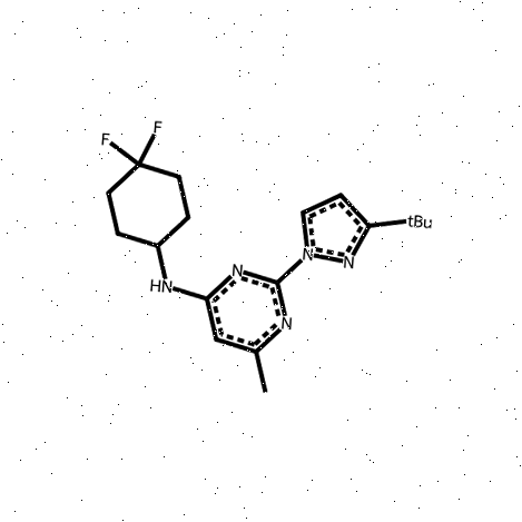 Cc1cc(NC2CCC(F)(F)CC2)nc(-n2ccc(C(C)(C)C)n2)n1